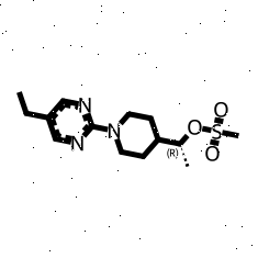 CCc1cnc(N2CCC([C@@H](C)OS(C)(=O)=O)CC2)nc1